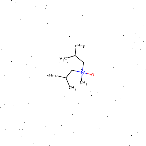 CCCCCCC(C)C[N+](C)([O-])CC(C)CCCCCC